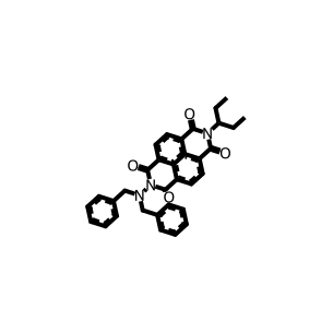 CCC(CC)N1C(=O)c2ccc3c4c(ccc(c24)C1=O)C(=O)N(N(Cc1ccccc1)Cc1ccccc1)C3=O